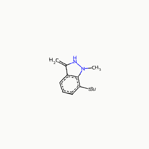 C=C1NN(C)c2c1cccc2C(C)(C)C